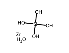 O.O[Si](O)(O)O.[Zr]